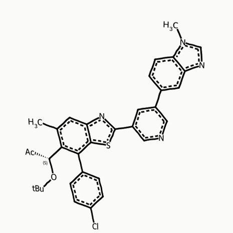 CC(=O)[C@@H](OC(C)(C)C)c1c(C)cc2nc(-c3cncc(-c4ccc5c(c4)ncn5C)c3)sc2c1-c1ccc(Cl)cc1